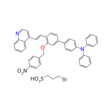 O=S(=O)(O)CCCBr.O=[N+]([O-])c1ccc(COc2cc(-c3ccc(N(c4ccccc4)c4ccccc4)cc3)ccc2C=Cc2ccnc3ccccc23)cc1